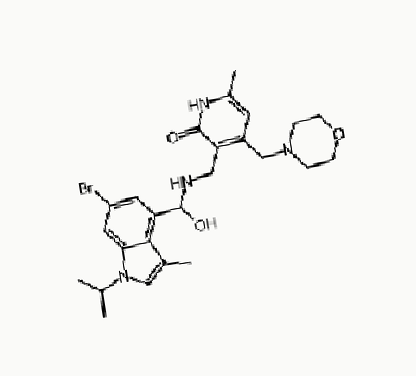 Cc1cc(CN2CCOCC2)c(CNC(O)c2cc(Br)cc3c2c(C)cn3C(C)C)c(=O)[nH]1